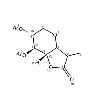 CC(=O)O[C@H]1[C@H](OC(C)=O)COC2C(C)C(=O)O[C@@H]21